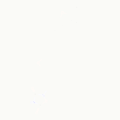 CCC(Oc1cc(C)c(-c2cccc(COc3ccc(Cn4oc(=O)[nH]c4=O)cc3)c2C)c(C)c1)C(=O)O